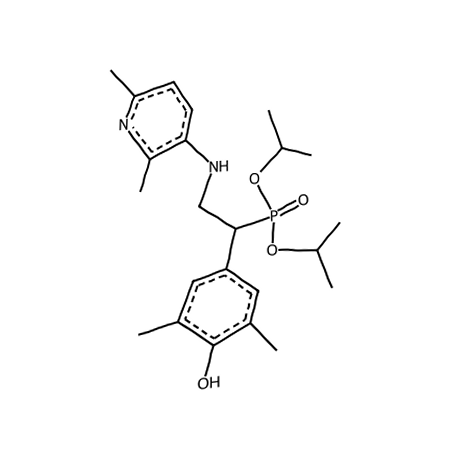 Cc1ccc(NCC(c2cc(C)c(O)c(C)c2)P(=O)(OC(C)C)OC(C)C)c(C)n1